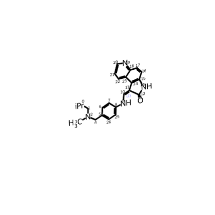 CC(C)CN(C)Cc1ccc(N/C=C2\C(=O)Nc3ccc4ncccc4c32)cc1